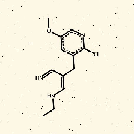 CCN/C=C(\C=N)Cc1cc(OC)cnc1Cl